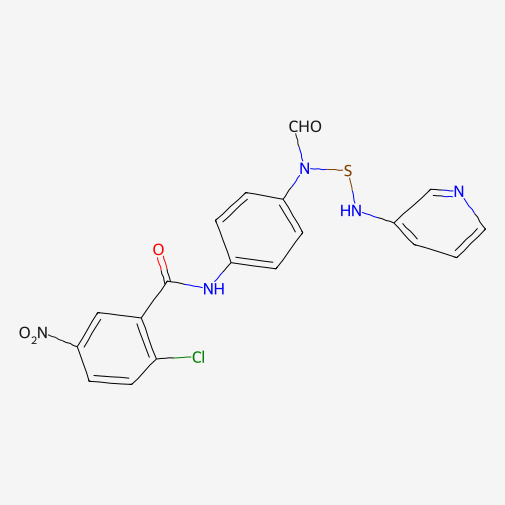 O=CN(SNc1cccnc1)c1ccc(NC(=O)c2cc([N+](=O)[O-])ccc2Cl)cc1